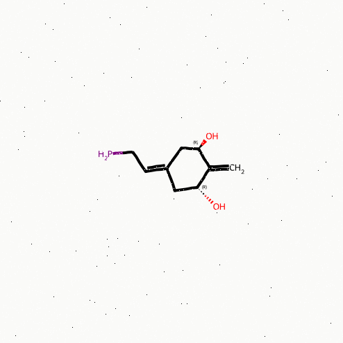 C=C1[C@H](O)CC(=CCP)C[C@H]1O